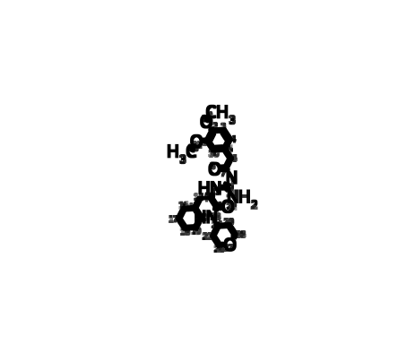 COc1ccc(CC(=O)N=C(N)N[C@H](CC2CCCCC2)C(=O)NC2CCOCC2)cc1OC